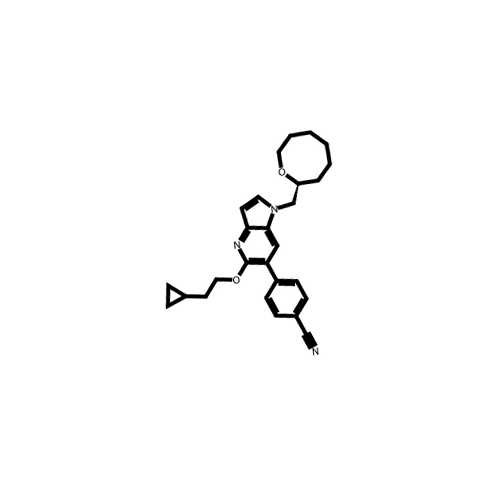 N#Cc1ccc(-c2cc3c(ccn3C[C@@H]3CCCCCCO3)nc2OCCC2CC2)cc1